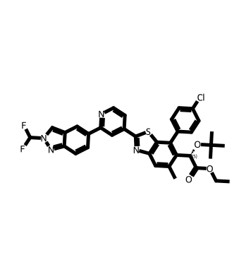 CCOC(=O)[C@@H](OC(C)(C)C)c1c(C)cc2nc(-c3ccnc(-c4ccc5nn(C(F)F)cc5c4)c3)sc2c1-c1ccc(Cl)cc1